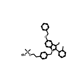 Cc1ccccc1-c1c(F)c2cc(OCc3ccccc3)ccc2n1Cc1ccc(CCO[Si](C)(C)C(C)(C)C)cc1